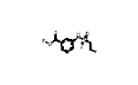 CCCS(=O)(=O)Nc1cccc(C(=O)OF)c1